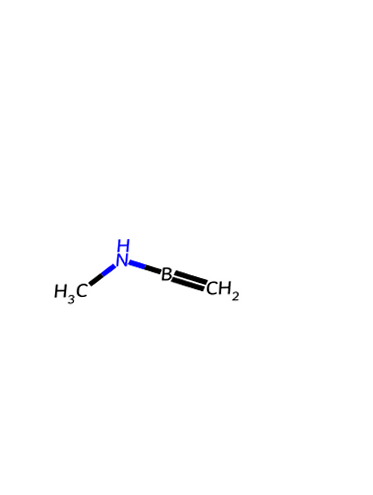 C=BNC